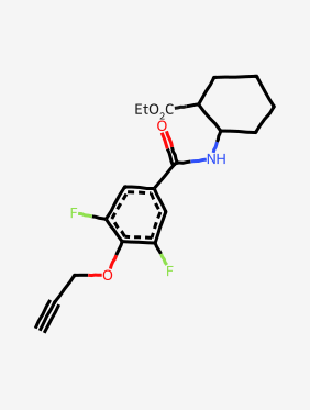 C#CCOc1c(F)cc(C(=O)NC2CCCCC2C(=O)OCC)cc1F